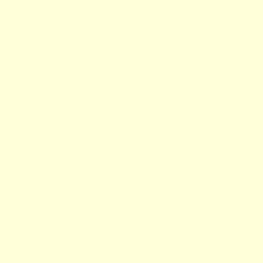 CCCCCCCCCCOC1CCC2(CC1)CC1(CCC(OCCCCCCCCCC)CC1)C2